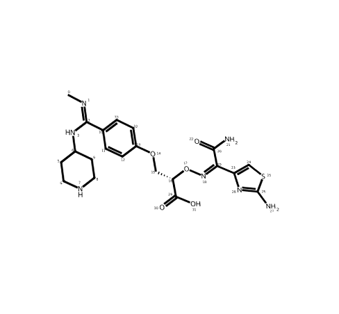 C/N=C(\NC1CCNCC1)c1ccc(OC[C@H](O/N=C(\C(N)=O)c2csc(N)n2)C(=O)O)cc1